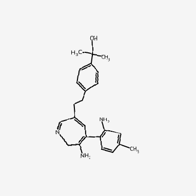 Cc1ccc(C2=C(N)CN=CC(CCc3ccc(C(C)(C)O)cc3)=C2)c(N)c1